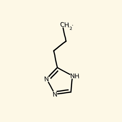 [CH2]CCc1nnc[nH]1